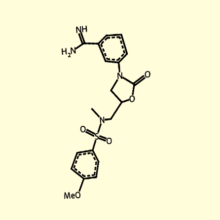 COc1ccc(S(=O)(=O)N(C)CC2CN(c3cccc(C(=N)N)c3)C(=O)O2)cc1